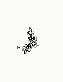 CC1CN(C(=O)C(C)(O)C(F)(F)F)CCC1C1(c2nnc(-c3ccc(F)cc3)[nH]2)CC1